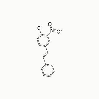 O=[N+]([O-])c1cc(C=Cc2ccccc2)ccc1Cl